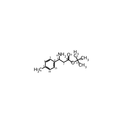 Cc1ccc(C(N)CC(=O)OC(C)(C)C)cc1